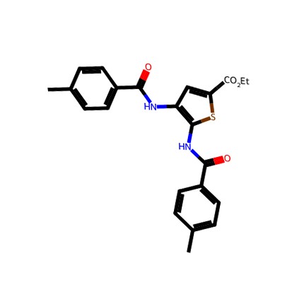 CCOC(=O)c1cc(NC(=O)c2ccc(C)cc2)c(NC(=O)c2ccc(C)cc2)s1